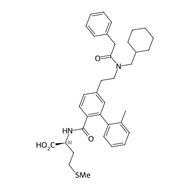 CSCC[C@H](NC(=O)c1ccc(CCN(CC2CCCCC2)C(=O)Cc2ccccc2)cc1-c1ccccc1C)C(=O)O